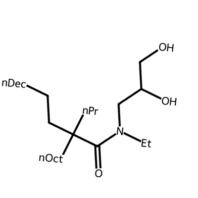 CCCCCCCCCCCCC(CCC)(CCCCCCCC)C(=O)N(CC)CC(O)CO